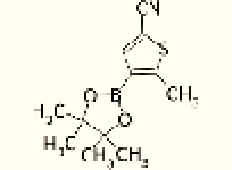 Cc1sc(C#N)cc1B1OC(C)(C)C(C)(C)O1